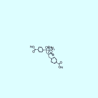 CC(C)(C)C(C)(CC(C=O)Cc1ccc(C(=O)O)cc1)c1ccc(C(=O)O)cc1